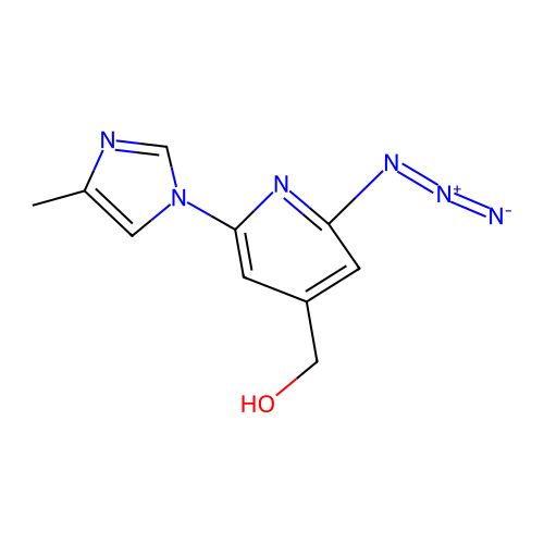 Cc1cn(-c2cc(CO)cc(N=[N+]=[N-])n2)cn1